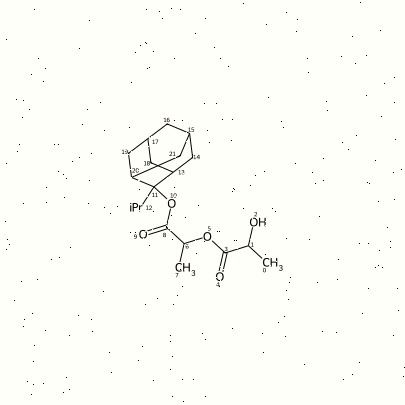 CC(O)C(=O)OC(C)C(=O)OC1(C(C)C)C2CC3CC(C2)CC1C3